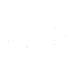 Cc1nc2ccc(B3OC(C)(C)C(C)(C)O3)c(Cl)c2n1C